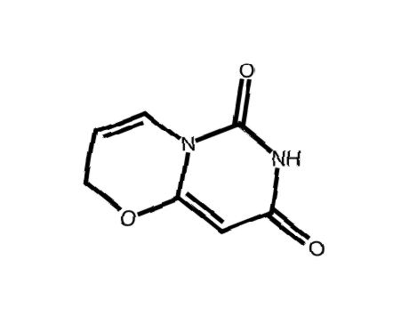 O=c1cc2n(c(=O)[nH]1)C=CCO2